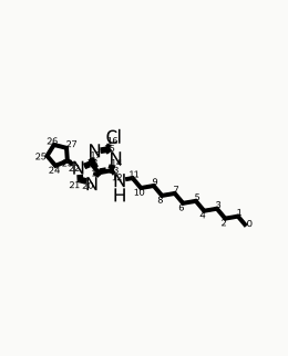 CCCCCCCCCCCCNc1nc(Cl)nc2c1ncn2C1CCCC1